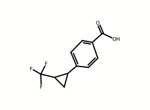 O=C(O)c1ccc(C2CC2C(F)(F)F)cc1